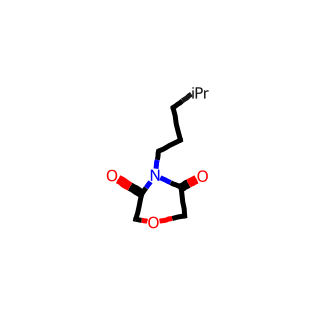 CC(C)CCCN1C(=O)COCC1=O